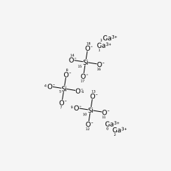 [Ga+3].[Ga+3].[Ga+3].[Ga+3].[O-][Si]([O-])([O-])[O-].[O-][Si]([O-])([O-])[O-].[O-][Si]([O-])([O-])[O-]